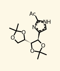 CC(=O)c1nc([C@H]2OC(C)(C)O[C@@H]2C2COC(C)(C)O2)c[nH]1